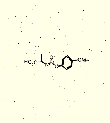 COc1ccc(O[P+]([O-])=N[C@@H](C)C(=O)O)cc1